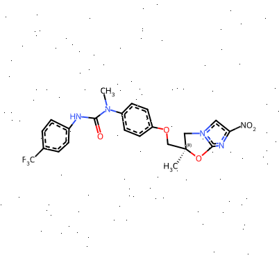 CN(C(=O)Nc1ccc(C(F)(F)F)cc1)c1ccc(OC[C@@]2(C)Cn3cc([N+](=O)[O-])nc3O2)cc1